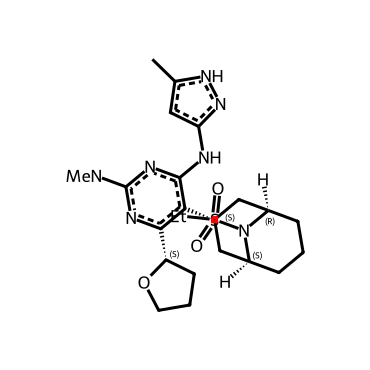 CCS(=O)(=O)N1[C@@H]2CCC[C@H]1C[C@H](c1c(Nc3cc(C)[nH]n3)nc(NC)nc1[C@@H]1CCCO1)C2